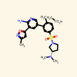 CC(=O)O.Cc1cc(-c2cc(-c3cc(S(=O)(=O)N4CC[C@H](N(C)C)C4)ccc3C)cnc2N)on1